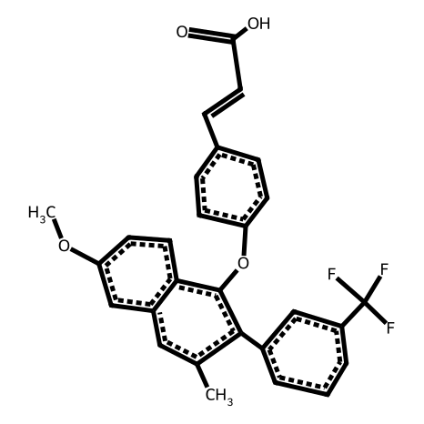 COc1ccc2c(Oc3ccc(C=CC(=O)O)cc3)c(-c3cccc(C(F)(F)F)c3)c(C)cc2c1